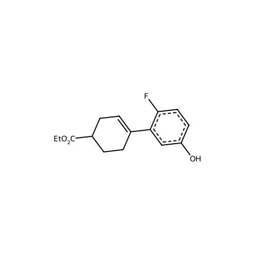 CCOC(=O)C1CC=C(c2cc(O)ccc2F)CC1